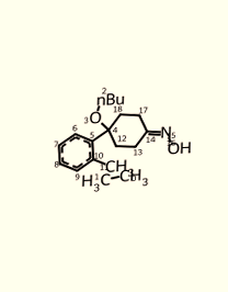 CC.CCCCOC1(c2ccccc2C)CCC(=NO)CC1